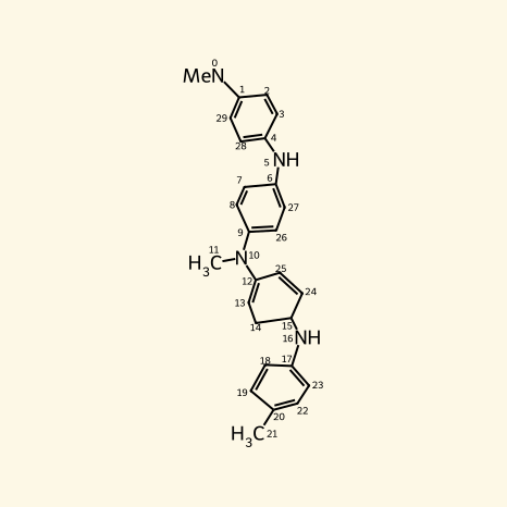 CNc1ccc(Nc2ccc(N(C)C3=CCC(Nc4ccc(C)cc4)C=C3)cc2)cc1